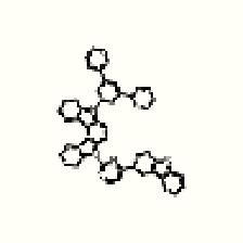 c1ccc(-c2cc(-c3ccccc3)cc(-n3c4ccccc4c4c5c6ccccc6n(-c6nccc(-c7ccc8sc9ccccc9c8c7)n6)c5ccc43)c2)cc1